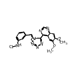 COc1cc2ncnc(-c3nnnn3Cc3cccc(NCl)c3)c2cc1OC